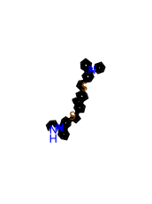 CC1(C)c2cc(-c3ccc(-c4ccc5c(c4)c4ccccc4n5C4=CC=CCN4)s3)ccc2-c2ccc(-c3ccc(-c4ccc5c(c4)c4ccccc4n5-c4ccccc4)s3)cc21